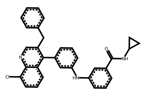 O=C(NC1CC1)c1cccc(Nc2cccc(-c3c(Cc4ccccc4)cnc4c(Cl)cccc34)c2)c1